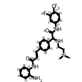 CN(C)CCNC(C(=O)Nc1ccc(C(F)(F)F)c(F)c1)c1ccc(/C=C/C(=O)Nc2ccccc2N)cc1